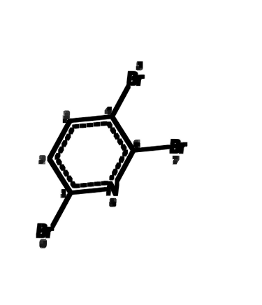 Brc1c[c]c(Br)c(Br)n1